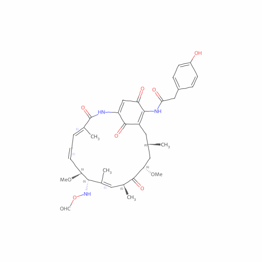 CO[C@H]1C[C@H](C)CC2=C(NC(=O)Cc3ccc(O)cc3)C(=O)C=C(NC(=O)/C(C)=C/C=C\[C@H](OC)[C@@H](NOC=O)/C(C)=C/[C@H](C)C1=O)C2=O